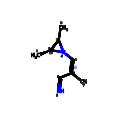 CC1[C@H](C)N1/C=C(/C#N)C=N